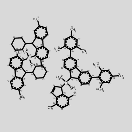 CC(C)(C)c1ccc2c(c1)C(C1CCCCC1)c1c-2ccc(C(C)(C)C)[c]1[Hf]([CH3])([CH3])[c]1c(C(C)(C)C)ccc2c1C(C1CCCCC1)c1cc(C(C)(C)C)ccc1-2.Cc1cc(C)c(-c2ccc3c(c2)-c2cc(-c4c(C)cc(C)cc4C)ccc2[CH]3[Ti]([CH3])([CH3])[CH]2C=Cc3c(Cl)ccc(Cl)c32)c(C)c1